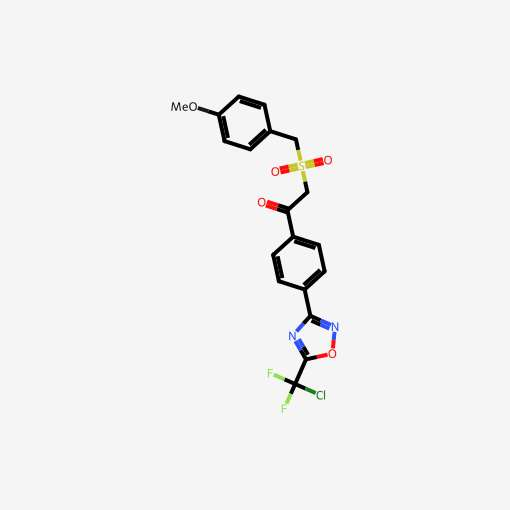 COc1ccc(CS(=O)(=O)CC(=O)c2ccc(-c3noc(C(F)(F)Cl)n3)cc2)cc1